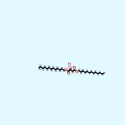 CCCCCCCCCCCCCOC(=O)CC(O)C(=O)OCCCCCCCCCCCCC